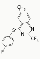 Cc1ccc2nc(C(F)(F)F)nc(Sc3ccc(F)cc3)c2c1